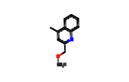 Cc1cc(COS(=O)(=O)O)nc2ccccc12